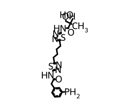 CC(CO)(CO)C(=O)Nc1nnc(CCCCc2nnc(NC(=O)Cc3cccc(P)c3)s2)s1